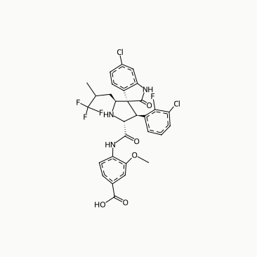 COc1cc(C(=O)O)ccc1NC(=O)[C@@H]1N[C@@H](CC(C)C(F)(F)F)[C@@]2(C(=O)Nc3cc(Cl)ccc32)[C@H]1c1cccc(Cl)c1F